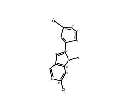 Cn1c(-c2ccnc(Cl)n2)cc2cnc(Cl)cc21